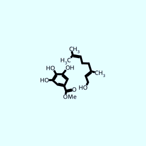 CC(C)=CCCC(C)=CCO.COC(=O)c1cc(O)c(O)c(O)c1